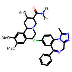 CCN(CC)C(=O)C1CN2CCc3cc(OC)c(OC)cc3C2CC1OC(C)=O.Cc1nnc2n1-c1ccc(Cl)cc1C(c1ccccc1)=NC2